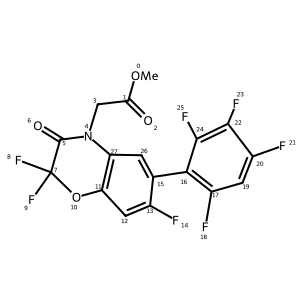 COC(=O)CN1C(=O)C(F)(F)Oc2cc(F)c(-c3c(F)cc(F)c(F)c3F)cc21